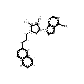 Nc1ncnc2c1ccn2[C@@H]1C[C@H](CCCc2ccc3cccnc3c2)[C@@H](O)[C@H]1O